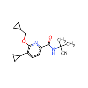 CC(C)(C#N)NC(=O)c1ccc(C2CC2)c(OCC2CC2)n1